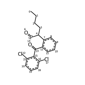 CCCCC(P=O)c1ccccc1C(=O)c1c(Cl)cccc1Cl